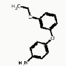 CCOc1cccc(Oc2ccc(N)cc2)c1